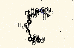 C=N/C(=C\C(=C/C)c1nc(C(=O)Nc2cn(-c3ccc(CN(C)CCOCCCc4cccc5c4C(=O)N(C4CCC(=O)NC4=O)C5=O)cc3)nc2C(F)F)co1)NCC1CC1